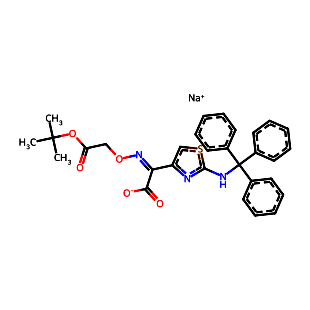 CC(C)(C)OC(=O)CO/N=C(\C(=O)[O-])c1csc(NC(c2ccccc2)(c2ccccc2)c2ccccc2)n1.[Na+]